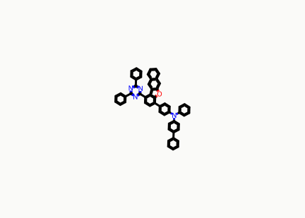 c1ccc(-c2ccc(N(c3ccccc3)c3ccc(-c4ccc(-c5nc(-c6ccccc6)nc(-c6ccccc6)n5)c5c4oc4cc6ccccc6cc45)cc3)cc2)cc1